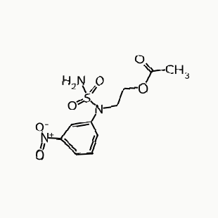 CC(=O)OCCN(c1cccc([N+](=O)[O-])c1)S(N)(=O)=O